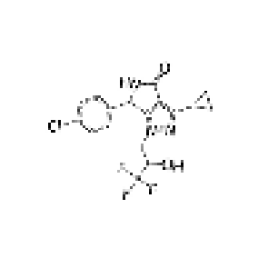 O=C1NC(c2ccc(Cl)cc2)c2c1c(C1CC1)nn2CC(O)C(F)(F)F